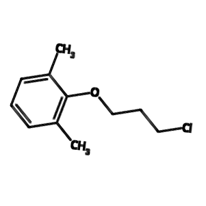 Cc1cccc(C)c1OCCCCl